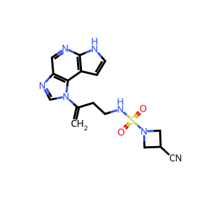 C=C(CCNS(=O)(=O)N1CC(C#N)C1)n1cnc2cnc3[nH]ccc3c21